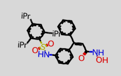 CC(C)c1cc(C(C)C)c(S(=O)(=O)Nc2cccc(/C(=C\C(=O)NO)c3ccccc3)c2)c(C(C)C)c1